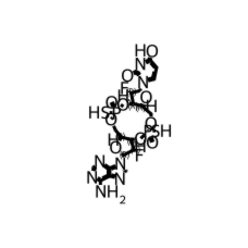 Nc1ncnc2c1ncn2[C@@H]1O[C@@H]2COP(=O)(S)O[C@@H]3[C@@H](COP(=O)(S)O[C@H]2[C@H]1F)OC(n1ccc(=O)[nH]c1=O)[C@@H]3F